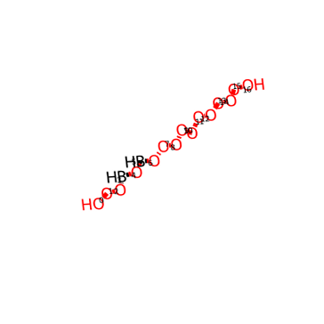 OOOBOBOOOOOOOOOOO